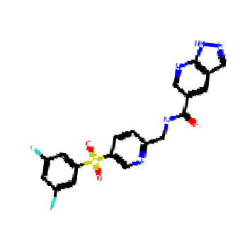 O=C(NCc1ccc(S(=O)(=O)c2cc(F)cc(F)c2)cn1)c1cnc2[nH]ncc2c1